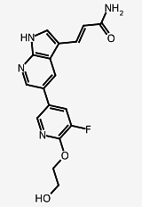 NC(=O)C=Cc1c[nH]c2ncc(-c3cnc(OCCO)c(F)c3)cc12